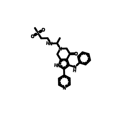 CC(NCCS(C)(=O)=O)N1CC(=O)c2c([nH]c(-c3ccncc3)c2Nc2ccccc2)C1